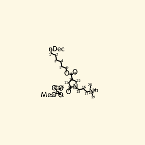 CCCCCCCCCCCCCCCCOC(=O)C1CC(=O)N(CCC[N+](C)(C)C)C1.COS(=O)(=O)[O-]